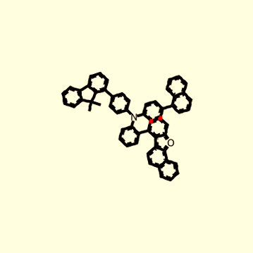 CC1(C)c2ccccc2-c2cccc(-c3ccc(N(c4ccc(-c5cccc6ccccc56)cc4)c4ccccc4-c4cccc5oc6c7ccccc7ccc6c45)cc3)c21